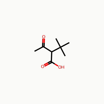 CC(=O)C(C(=O)O)C(C)(C)C